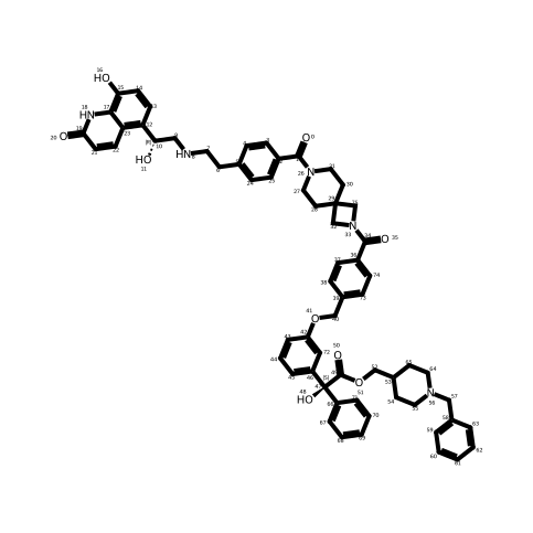 O=C(c1ccc(CCNC[C@H](O)c2ccc(O)c3[nH]c(=O)ccc23)cc1)N1CCC2(CC1)CN(C(=O)c1ccc(COc3cccc([C@](O)(C(=O)OCC4CCN(Cc5ccccc5)CC4)c4ccccc4)c3)cc1)C2